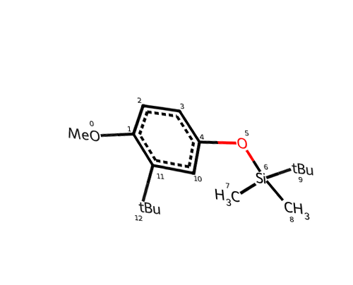 COc1ccc(O[Si](C)(C)C(C)(C)C)cc1C(C)(C)C